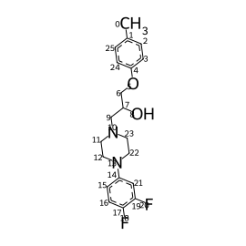 Cc1ccc(OCC(O)CN2CCN(c3ccc(F)c(F)c3)CC2)cc1